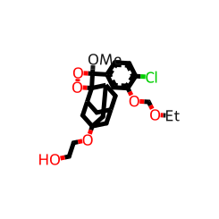 CCOCOc1cc(C2(OC)OOC23C2CC4CC3CC(OCCO)(C4)C2)ccc1Cl